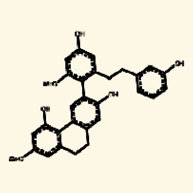 COc1cc(O)c2c(c1)CCc1cc(O)c(-c3c(CCc4cccc(O)c4)cc(O)cc3OC)cc1-2